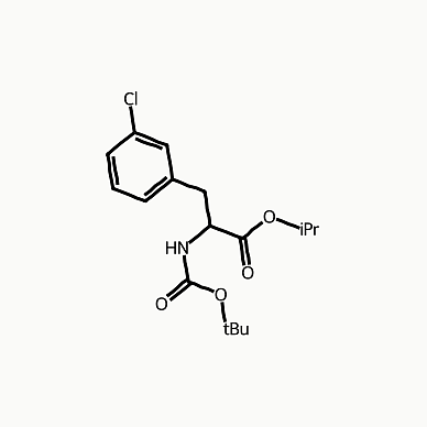 CC(C)OC(=O)C(Cc1cccc(Cl)c1)NC(=O)OC(C)(C)C